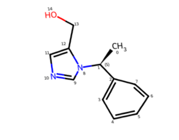 C[C@@H](c1ccccc1)n1cncc1CO